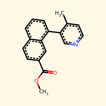 COC(=O)c1ccc2cccc(-c3cnccc3C)c2c1